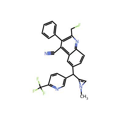 CN1C=C1C(c1ccc(C(F)(F)F)nc1)c1ccc2nc(CF)c(-c3ccccc3)c(C#N)c2c1